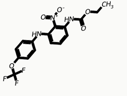 CCOC(=O)Nc1cccc(Nc2ccc(OC(F)(F)F)cc2)c1[N+](=O)[O-]